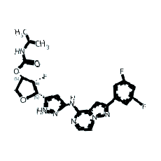 CC(C)NC(=O)O[C@H]1CO[C@@H](c2cc(Nc3nccn4nc(-c5cc(F)cc(F)c5)cc34)n[nH]2)[C@H]1F